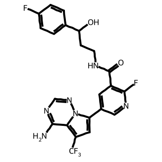 Nc1ncnn2c(-c3cnc(F)c(C(=O)NCCC(O)c4ccc(F)cc4)c3)cc(C(F)(F)F)c12